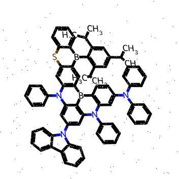 CC(C)c1cc(C(C)C)c(B2c3ccccc3Sc3cc4c(cc32)B2c3ccc(N(c5ccccc5)c5ccccc5)cc3N(c3ccccc3)c3cc(-n5c6ccccc6c6ccccc65)cc(c32)N4c2ccccc2)c(C(C)C)c1